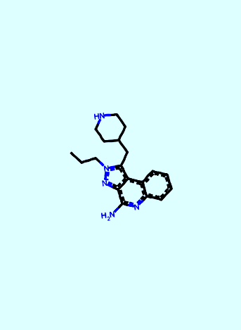 CCCn1nc2c(N)nc3ccccc3c2c1CC1CCNCC1